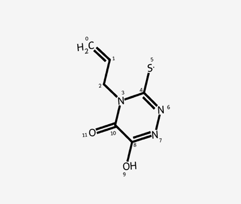 C=CCn1c([S])nnc(O)c1=O